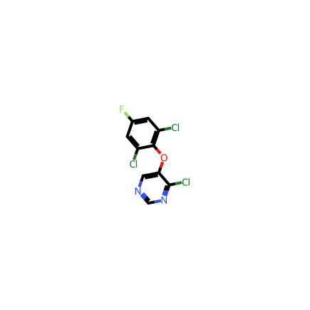 Fc1cc(Cl)c(Oc2cncnc2Cl)c(Cl)c1